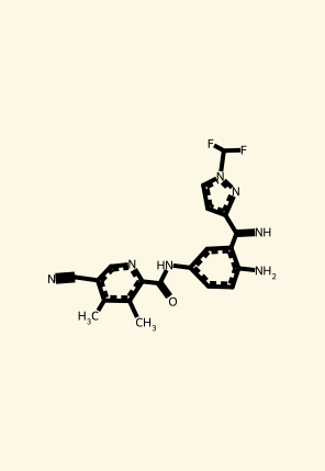 Cc1c(C#N)cnc(C(=O)Nc2ccc(N)c(C(=N)c3ccn(C(F)F)n3)c2)c1C